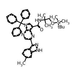 Cc1ccc2c(-c3cnc4c(n3)c(C(=O)NC(C)(C)CO[Si](C)(C)C(C)(C)C)cn4C(c3ccccc3)(c3ccccc3)c3ccccc3)n[nH]c2c1